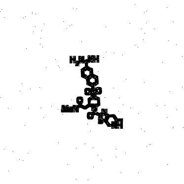 CNC(=O)CC1CN(S(=O)(=O)c2ccc3cc(C(=N)N)ccc3c2)CCN1C(=O)c1nc2c(s1)CNC(C)C2